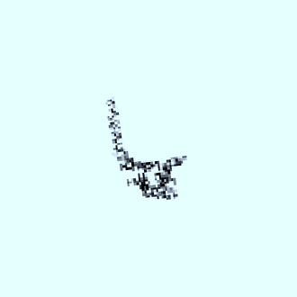 COCCOCCOCCOCCCN1CCN(c2nccc(COc3ccc4cc3C[C@H](C(=O)O)Oc3ncnc5sc(-c6ccc(F)cc6)c(c35)-c3c(C)c(Cl)c(c(Cl)c3C)O[C@H](CN3CCN(C)CC3)CO4)n2)CC1